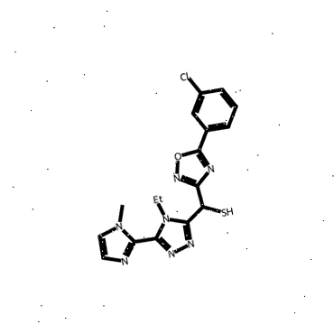 CCn1c(-c2nccn2C)nnc1C(S)c1noc(-c2cccc(Cl)c2)n1